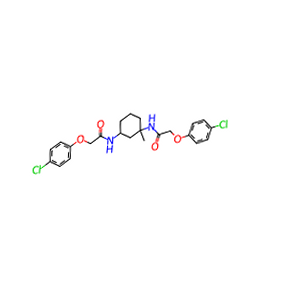 CC1(NC(=O)COc2ccc(Cl)cc2)CCCC(NC(=O)COc2ccc(Cl)cc2)C1